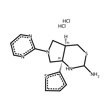 Cl.Cl.NC1N[C@@]2(c3cccs3)CN(c3ncccn3)C[C@H]2CS1